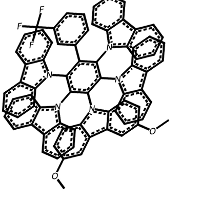 COc1ccc2c(c1)c1cc(OC)ccc1n2-c1c(-n2c3ccccc3c3ccccc32)c(-n2c3ccccc3c3ccccc32)c(-c2cccc(C(F)(F)F)c2)c(-n2c3ccccc3c3ccccc32)c1-n1c2ccccc2c2ccccc21